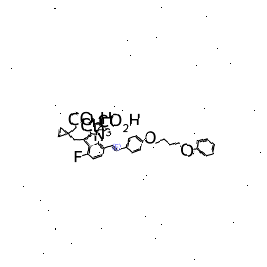 Cc1c(CC2(CC(=O)O)CC2)c2c(F)ccc(/C=C/c3ccc(OCCCCOc4ccccc4)cc3)c2n1CC(=O)O